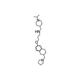 CC(C)N1CCC(CNCCCOc2ccc3c(c2)CCC(CN2CCCC2)C3)CC1